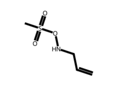 C=CCNOS(C)(=O)=O